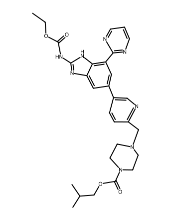 CCOC(=O)Nc1nc2cc(-c3ccc(CN4CCN(C(=O)OCC(C)C)CC4)nc3)cc(-c3ncccn3)c2[nH]1